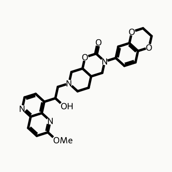 COc1ccc2nccc(C(O)CN3CCC4CN(c5ccc6c(c5)OCCO6)C(=O)OC4C3)c2n1